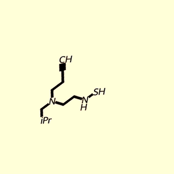 C#CCCN(CCNS)CC(C)C